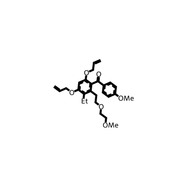 C=CCOc1cc(OCC=C)c(C(=O)c2ccc(OC)cc2)c(CCOCCOC)c1CC